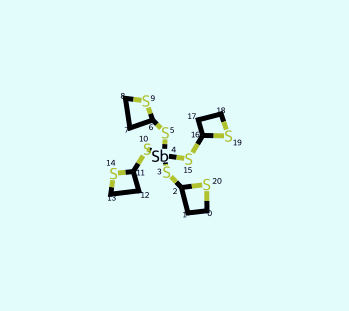 C1CC([S][Sb]([S]C2CCS2)([S]C2CCS2)[S]C2CCS2)S1